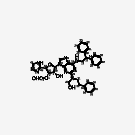 O=CO[C@H]1[C@@H](O)[C@H](n2cnc3c(NCC(c4ccccc4)c4ccccc4)nc(N(CO)CCc4ccccc4)nc32)O[C@@H]1c1nnc[nH]1